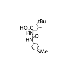 CSc1ccc(NC(=O)N[C@@H](CC(C)CC(C)(C)C)C(=O)O)cc1